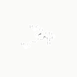 CCCCC[C@](C)(NI)C(=O)OC